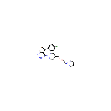 Fc1ccc(-c2csc3ncnc(N4CCC(COCCN5CCCC5)CC4)c23)cc1